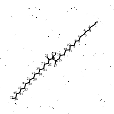 CCCCCCCCCCCCCCCCC(C)C(=O)C(C)CCCCCCCCCCCCCCCC